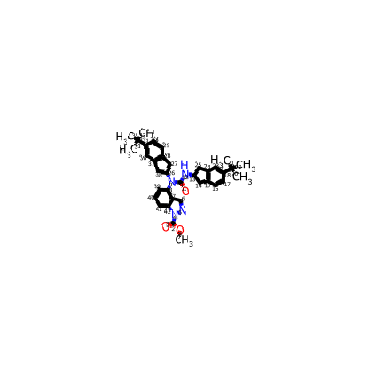 COC(=O)n1ncc2c(N(C(=O)NC3Cc4ccc(C(C)(C)C)cc4C3)C3Cc4ccc(C(C)(C)C)cc4C3)cccc21